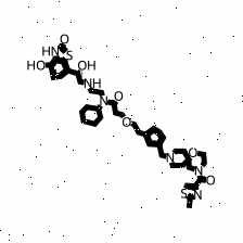 Cc1nc(C(=O)N2CCOC3(CCN(Cc4cccc(CCOCCC(=O)N(CCNC[C@H](O)c5ccc(O)c6[nH]c(=O)sc56)C5CCCCC5)c4)CC3)C2)cs1